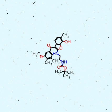 COc1cc(C(=O)c2c(NCCNC(=O)OC(C)(C)C)oc3c(O)c(C)ccc23)cc(C)c1C